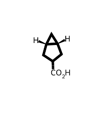 O=C(O)C1C[C@@H]2C[C@@H]2C1